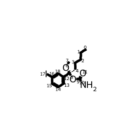 CCCCC[C@](OC)(OC(N)=O)c1cccc(I)c1